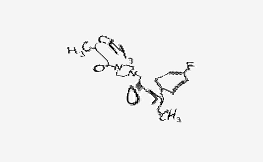 CCN(C(=O)CN1CCN(C(=O)C(C)C)CC1)c1ccc(F)cc1